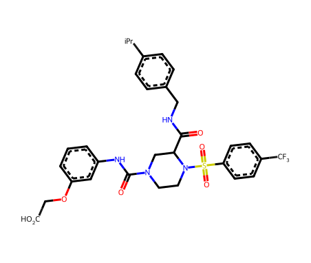 CC(C)c1ccc(CNC(=O)C2CN(C(=O)Nc3cccc(OCC(=O)O)c3)CCN2S(=O)(=O)c2ccc(C(F)(F)F)cc2)cc1